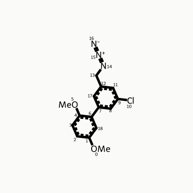 COc1ccc(OC)c(-c2cc(Cl)cc(CN=[N+]=[N-])c2)c1